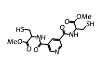 COC(=O)C(CS)NC(=O)c1cncc(C(=O)NC(CS)C(=O)OC)c1